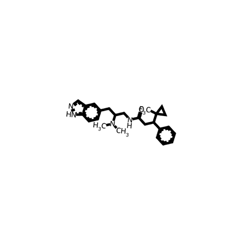 CN(C)C(CNC(=O)CC(c1ccccc1)C1(C(F)(F)F)CC1)Cc1ccc2[nH]ncc2c1